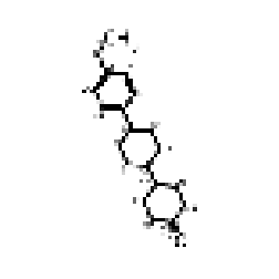 CCc1ccc(C2CCC(C3CCC(=O)CC3)CC2)cc1